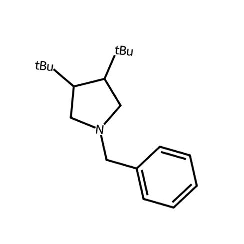 CC(C)(C)C1CN(Cc2ccccc2)CC1C(C)(C)C